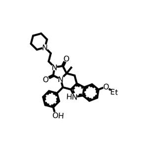 CCOc1ccc2[nH]c3c(c2c1)CC1(C)C(=O)N(CCN2CCCCC2)C(=O)N1C3c1cccc(O)c1